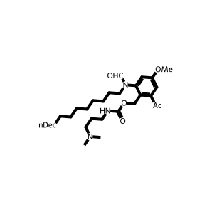 CCCCCCCCCCCCCCCCCCN(C=O)c1cc(OC)cc(C(C)=O)c1COC(=O)NCCCN(C)C